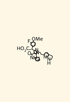 COc1ccc([C@H](CC(=O)O)c2nn(CCc3ccc4c(n3)NCCC4)c(-c3ccccc3)c2C(N)=O)cc1F